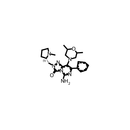 CC1CN(c2c(-c3ccccc3)nc(N)n3c(=O)n(C[C@@H]4CCCN4C)nc23)CC(C)O1